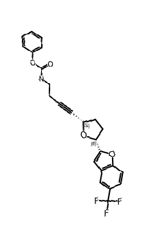 O=C([N]CCC#C[C@@H]1CC[C@H](c2cc3cc(C(F)(F)F)ccc3o2)O1)Oc1ccccc1